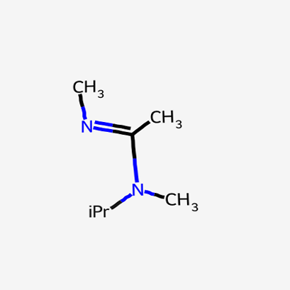 CN=C(C)N(C)C(C)C